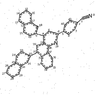 N#Cc1ccc(-c2cc(-c3ccc4ccccc4c3)c3cc(-c4ccc5ccccc5c4)c4ccccc4c3n2)cc1